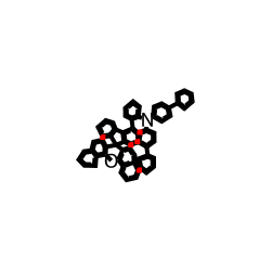 c1ccc(-c2ccc(N(c3ccc(-c4ccccc4)cc3)c3ccccc3-c3cccc4c3-c3ccccc3C43c4ccc5ccccc5c4Oc4c3ccc3ccccc43)cc2)cc1